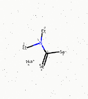 CCN(CC)C(=[Se])[Se-].[Na+]